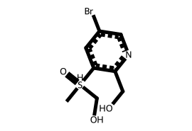 C[SH](=O)(CO)c1cc(Br)cnc1CO